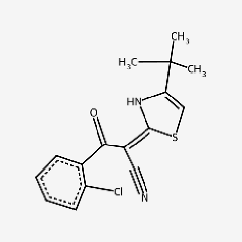 CC(C)(C)C1=CS/C(=C(\C#N)C(=O)c2ccccc2Cl)N1